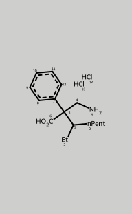 CCCCCC(CC)C(CN)(C(=O)O)c1ccccc1.Cl.Cl